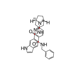 O=C(NCc1ccccc1)c1ccc(N2[C@@H]3CC[C@H]2C[C@@H](NC(=O)c2ccc4cc[nH]c4c2)C3)nc1